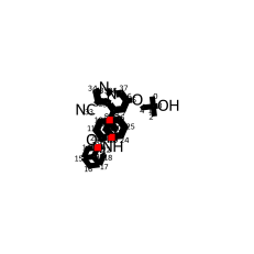 CC(C)(O)COc1cc(-c2ccc(N3CC4CC(C3)C4C(=O)Nc3ccccc3)nc2)c2c(C#N)cnn2c1